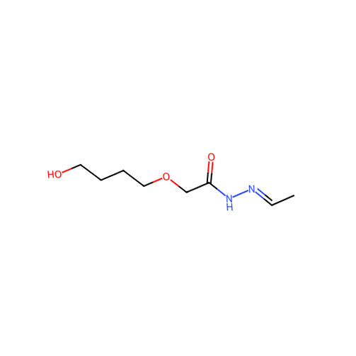 CC=NNC(=O)COCCCCO